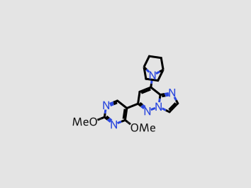 COc1ncc(-c2cc(N3C4CCC3CC4)c3nccn3n2)c(OC)n1